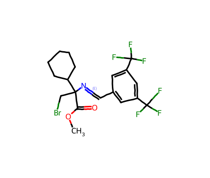 COC(=O)C(CBr)(/N=C/c1cc(C(F)(F)F)cc(C(F)(F)F)c1)C1CCCCC1